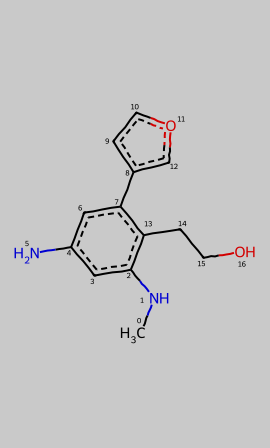 CNc1cc(N)cc(-c2ccoc2)c1CCO